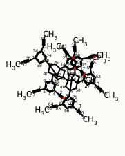 CC#Cc1cc(C#CC)cc(C23CC4(c5cc(C#CC)cc(C#CC)c5)CC(c5cc(C#CC)cc(C#CC)c5)(C2)CC(C25CC6(c7cc(C#CC)cc(C#CC)c7)CC(c7cc(C#CC)cc(C#CC)c7)(CC(c7cc(C#CC)cc(C#CC)c7)(C6)C2)C5)(C3)C4)c1